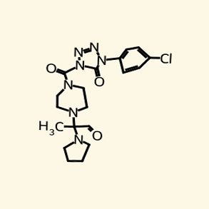 CC(C=O)(N1CCCC1)N1CCN(C(=O)n2nnn(-c3ccc(Cl)cc3)c2=O)CC1